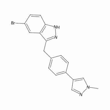 Cn1cc(-c2ccc(Cc3n[nH]c4ccc(Br)cc34)cc2)cn1